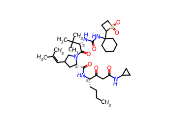 CCCC[C@H](NC(=O)[C@@H]1CC(C=C(C)C)CN1C(=O)[C@@H](NC(=O)NC1(C2CCS2(=O)=O)CCCCC1)C(C)(C)C)C(=O)CC(=O)NC1CC1